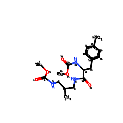 CC(CNC(=O)OC(C)(C)C)CNC(=O)C(Cc1ccc([N+](=O)[O-])cc1)NC(=O)OC(C)(C)C